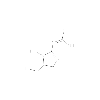 CC(C)CC1CN=C(N=C(N)N)N1C